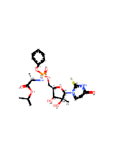 CC(C)OC(=O)[C@H](C)N[P@](=O)(OC[C@H]1O[C@@H](n2ccc(=O)[nH]c2=S)[C@](C)(O)C1O)Oc1ccccc1